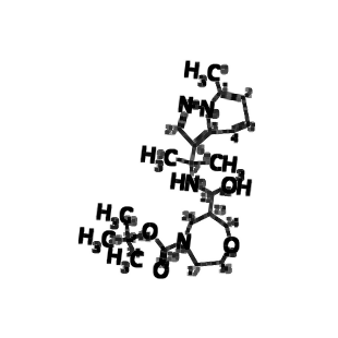 Cc1cccc2c(C(C)(C)NC(O)C3COCCN(C(=O)OC(C)(C)C)C3)cnn12